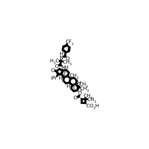 CC(C)C1=C2[C@H]3CC[C@@H]4[C@@]5(C)CC[C@H](OC(=O)[C@H]6C[C@@H](C(=O)O)C6(C)C)C(C)(C)[C@@H]5CC[C@@]4(C)[C@]3(C)CC[C@@]2(NC(=O)C(C)(C)NC(=O)c2ccc(C(F)(F)F)cc2)CC1=O